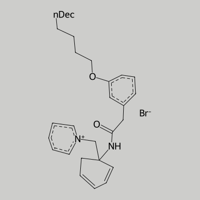 CCCCCCCCCCCCCCOc1cccc(CC(=O)NC2(C[n+]3ccccc3)C=CC=CC2)c1.[Br-]